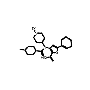 C=C(O)c1sc(C2=CCCCC2)cc1N(C(=C)C1CCC(C)CC1)C1CC[S+]([O-])CC1